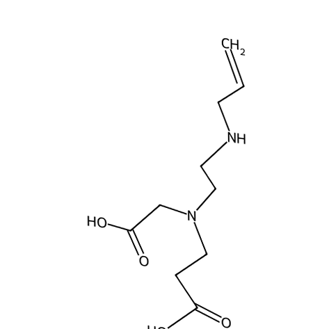 C=CCNCCN(CCC(=O)O)CC(=O)O